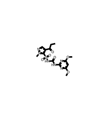 CCC(=O)c1cnn(C)c1S(=O)(=O)NC(=O)Nc1nc(OC)cc(OC)n1